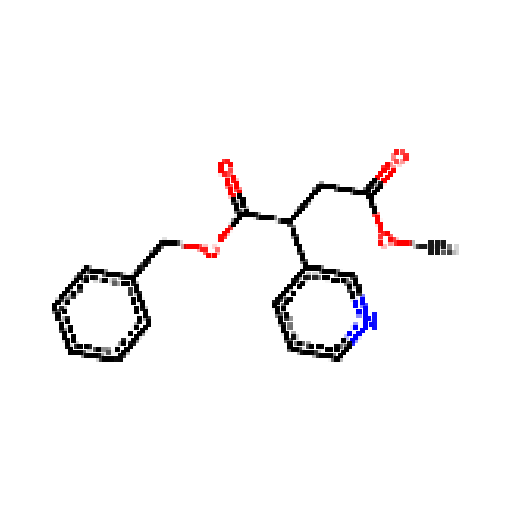 CC(C)(C)OC(=O)CC(C(=O)OCc1ccccc1)c1cccnc1